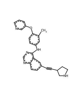 Cc1cc(Nc2ncnc3ccc(C#CC4CCNC4)cc23)ccc1Oc1cccnc1